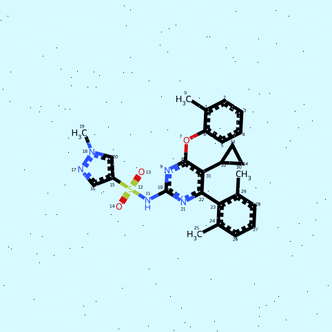 Cc1ccccc1Oc1nc(NS(=O)(=O)c2cnn(C)c2)nc(-c2c(C)cccc2C)c1C1CC1